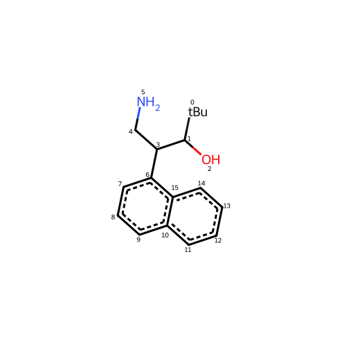 CC(C)(C)C(O)C(CN)c1cccc2ccccc12